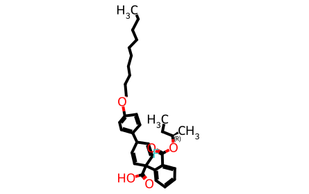 CCCCCCCCCCOc1ccc(C2C=CC(C(=O)O)(c3ccccc3C(=O)O[C@H](C)CC)C(F)=C2)cc1